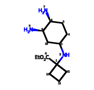 CCOC(=O)C1(NC2CC[C@H](N)[C@H](N)C2)CCC1